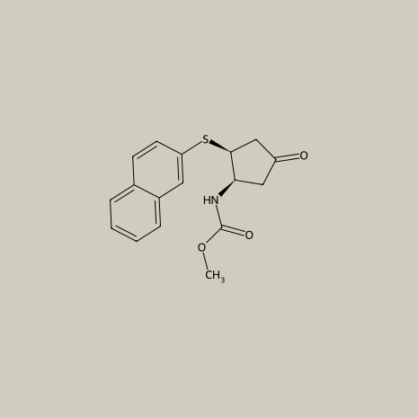 COC(=O)N[C@@H]1CC(=O)C[C@@H]1Sc1ccc2ccccc2c1